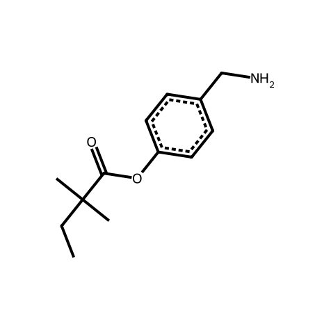 CCC(C)(C)C(=O)Oc1ccc(CN)cc1